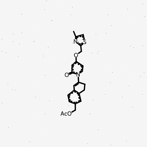 CC(=O)OCc1ccc2c(c1)CCC(n1ccc(OCc3nc(C)cs3)cc1=O)=C2